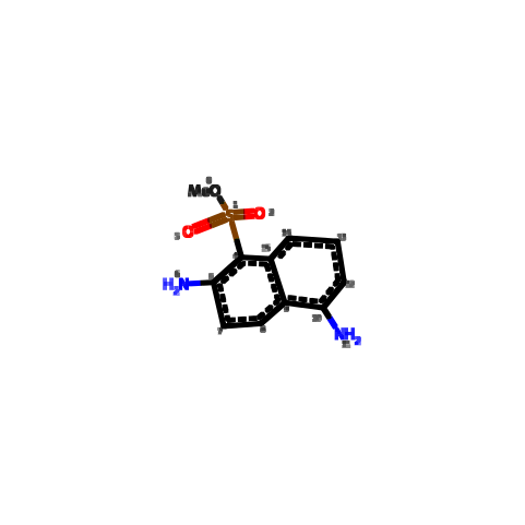 COS(=O)(=O)c1c(N)ccc2c(N)cccc12